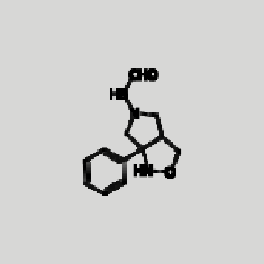 O=CBN1CC2CONC2(c2ccccc2)C1